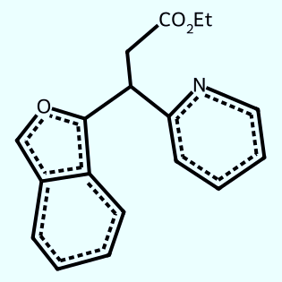 CCOC(=O)CC(c1ccccn1)c1occ2ccccc12